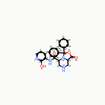 O=C(Nc1cccnc1O)C1CNCC2C(=O)OC(c3ccccc3)(c3ccccc3)N12